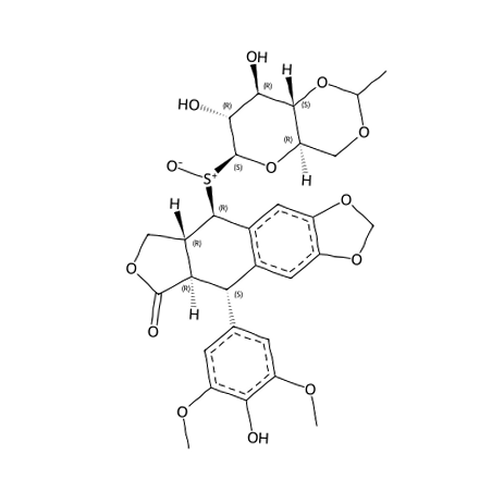 COc1cc([C@H]2c3cc4c(cc3[C@H]([S+]([O-])[C@@H]3O[C@@H]5COC(C)O[C@H]5[C@H](O)[C@H]3O)[C@H]3COC(=O)[C@H]23)OCO4)cc(OC)c1O